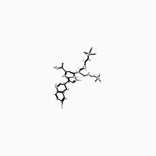 CC(O)c1cc(N(COCC[Si](C)(C)C)COCC[Si](C)(C)C)n2ncc(C3C=Nc4ccc(F)cc4C3)c2n1